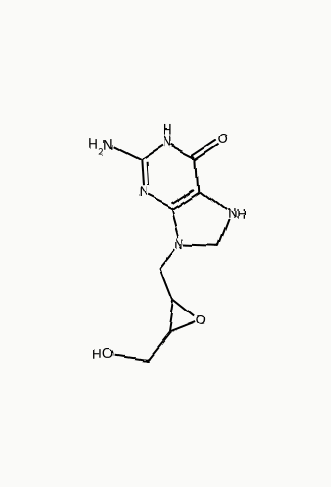 Nc1nc2c(c(=O)[nH]1)NCN2CC1OC1CO